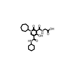 O=C(O)CNC(=O)c1c(O)c(C(=O)NC2CCCCC2)cn(C2CCCCCC2)c1=O